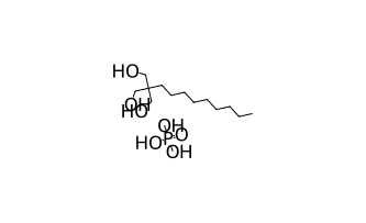 CCCCCCCCCC(CO)(CO)CO.O=P(O)(O)O